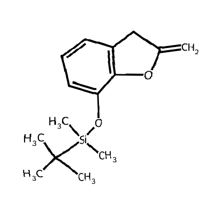 C=C1Cc2cccc(O[Si](C)(C)C(C)(C)C)c2O1